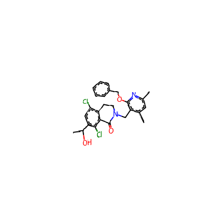 Cc1cc(C)c(CN2CCc3c(Cl)cc(C(C)O)c(Cl)c3C2=O)c(OCc2ccccc2)n1